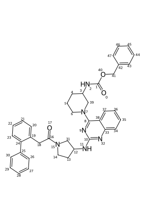 O=C(NC1CCCN(c2nc(NC3CCN(C(=O)Cc4ccccc4-c4ccccc4)C3)nc3ccccc23)C1)OCc1ccccc1